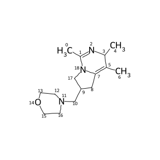 CC1=NC(C)C(C)=C2CC(CN3CCOCC3)CN12